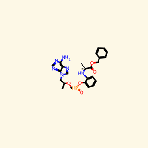 CC(Cn1cnc2c(N)ncnc21)OC[PH](=O)Oc1ccccc1N[C@@H](C)C(=O)OCc1ccccc1